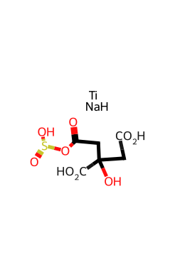 O=C(O)CC(O)(CC(=O)OS(=O)O)C(=O)O.[NaH].[Ti]